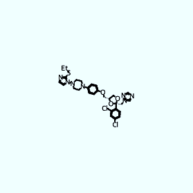 CCSc1nccn1N1CCN(c2ccc(OC[C@@H]3CO[C@@](Cn4cncn4)(c4ccc(Cl)cc4Cl)O3)cc2)CC1